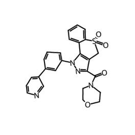 O=C(c1nn(-c2cccc(-c3cccnc3)c2)c2c1CS(=O)(=O)c1ccccc1-2)N1CCOCC1